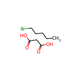 CCCCCBr.O=C(O)CC(=O)O